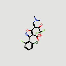 CN(C)/C=C(\C(=O)C(F)(F)F)c1onc(-c2c(F)cccc2Cl)c1C(=O)O